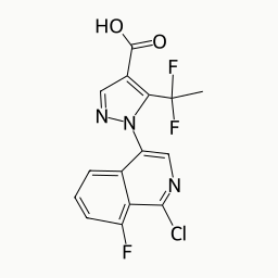 CC(F)(F)c1c(C(=O)O)cnn1-c1cnc(Cl)c2c(F)cccc12